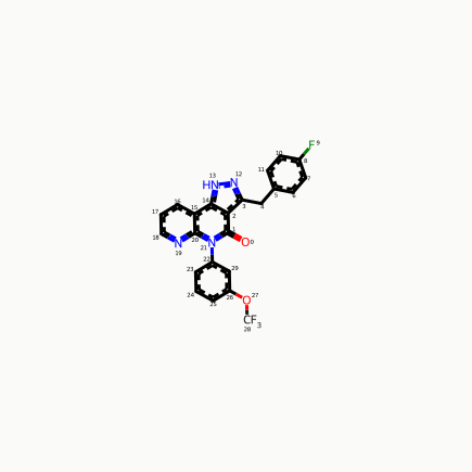 O=c1c2c(Cc3ccc(F)cc3)n[nH]c2c2cccnc2n1-c1cccc(OC(F)(F)F)c1